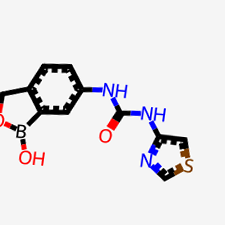 O=C(Nc1ccc2c(c1)B(O)OC2)Nc1cscn1